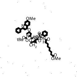 C=CC1CC1(NC(=O)[C@@H]1C[C@@H](Oc2cc(-c3ccccc3)nc3cc(OC)ccc23)CN1C(=O)OC(C)(C)C)C(=O)NS(=O)(=O)c1ccccc1NC(=O)CCCCCCCC(=O)OC